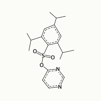 CC(C)c1cc(C(C)C)c(S(=O)(=O)Oc2ccncn2)c(C(C)C)c1